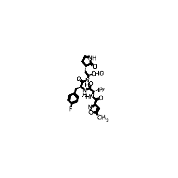 Cc1cc(C(=O)N[C@H](C(=O)N[C@@H](Cc2ccc(F)cc2)C(=O)N[C@H](C=O)C[C@@H]2CCNC2=O)C(C)C)no1